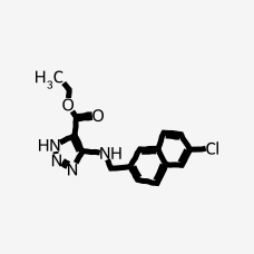 CCOC(=O)c1[nH]nnc1NCc1ccc2cc(Cl)ccc2c1